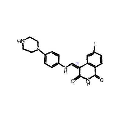 O=C1NC(=O)c2ccc(I)cc2/C1=C/Nc1ccc(N2CCNCC2)cc1